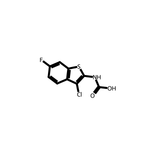 O=C(O)Nc1sc2cc(F)ccc2c1Cl